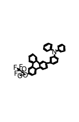 O=S(=O)(Oc1ccc2c3ccc(-c4cccc(N(c5ccccc5)c5ccccc5)c4)cc3c3ccccc3c2c1)C(F)(F)F